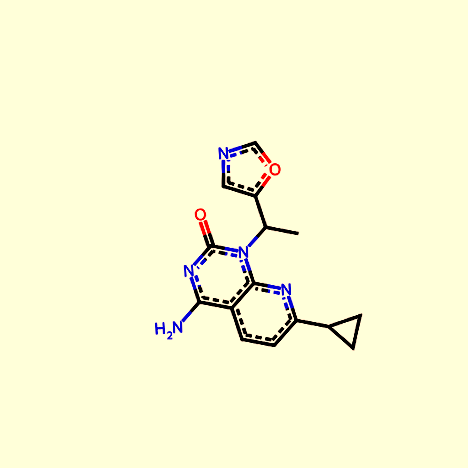 CC(c1cnco1)n1c(=O)nc(N)c2ccc(C3CC3)nc21